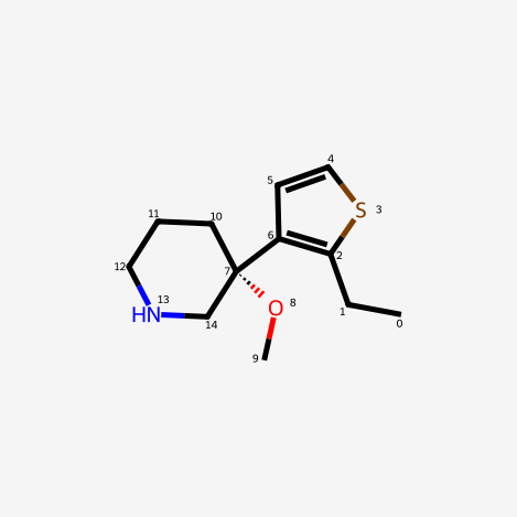 CCc1sccc1[C@]1(OC)CCCNC1